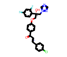 O=C(/C=C/c1ccc(Cl)cc1)c1ccc(OC[C@](O)(Cn2cncn2)c2ccc(F)cc2F)cc1